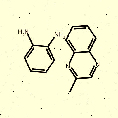 Cc1cnc2ccccc2n1.Nc1ccccc1N